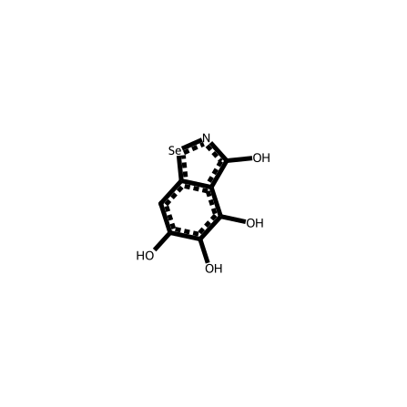 Oc1cc2[se]nc(O)c2c(O)c1O